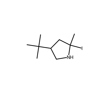 CC1(I)CC(C(C)(C)C)CN1